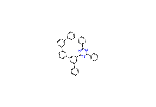 c1ccc(-c2cccc(-c3cccc(-c4cc(-c5ccccc5)cc(-c5nc(-c6ccccc6)nc(-c6ccccc6)n5)c4)c3)c2)cc1